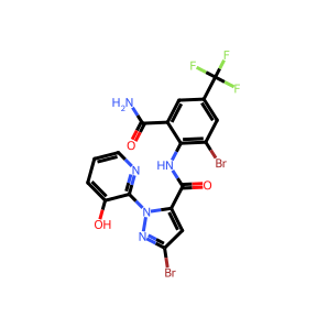 NC(=O)c1cc(C(F)(F)F)cc(Br)c1NC(=O)c1cc(Br)nn1-c1ncccc1O